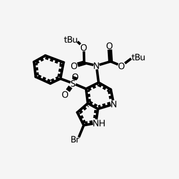 CC(C)(C)OC(=O)N(C(=O)OC(C)(C)C)c1cnc2[nH]c(Br)cc2c1S(=O)(=O)c1ccccc1